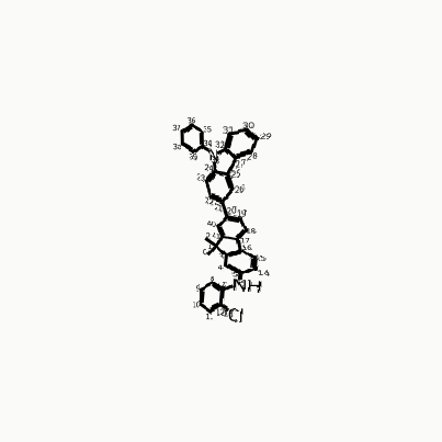 CC1(C)c2cc(Nc3ccccc3Cl)ccc2-c2ccc(-c3ccc4c(c3)c3ccccc3n4-c3ccccc3)cc21